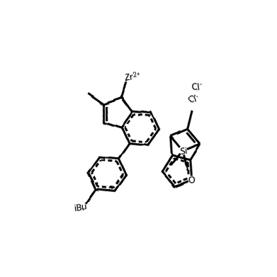 CC1=C2c3occc3C1[Si]2(C)C.CCC(C)c1ccc(-c2cccc3c2C=C(C)[CH]3[Zr+2])cc1.[Cl-].[Cl-]